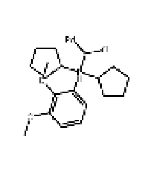 COc1cccc([PH]([CH](Cl)[Pd])(C2CCCC2)C2CCCC2)c1OC